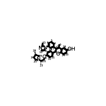 CC1=C(c2cccc(-n3ccnc3C)c2)C(c2ccc(OC[C@H](C)N3CC[C@@H](C)C3)cc2)Oc2ccc(O)cc21